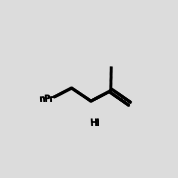 C=C(C)CCCCC.I